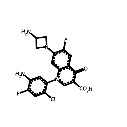 Nc1cc(-n2cc(C(=O)O)c(=O)c3cc(F)c(N4CC(N)C4)cc32)c(Cl)cc1F